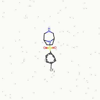 O=S(=O)(c1ccc(C(F)(F)F)cc1)N1C2CCC1CNC2